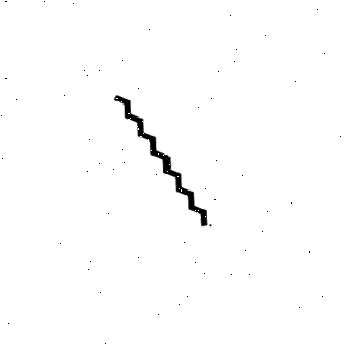 [CH2]CCCCC/C=C/CCCCCCC